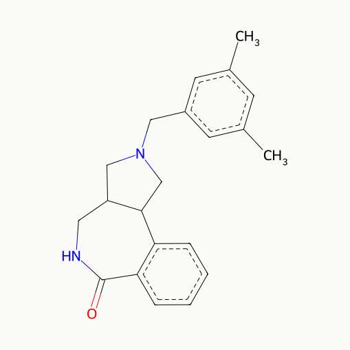 Cc1cc(C)cc(CN2CC3CNC(=O)c4ccccc4C3C2)c1